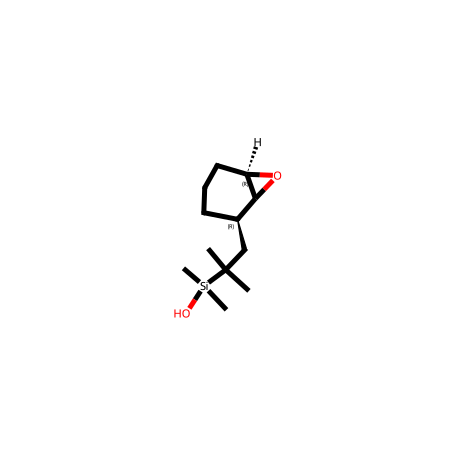 CC(C)(C[C@H]1CCC[C@H]2OC12)[Si](C)(C)O